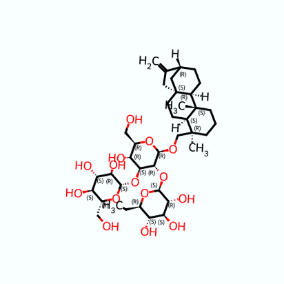 C=C1C[C@@]23CC[C@@H]4[C@](C)(CO[C@@H]5O[C@H](CO)[C@@H](O)[C@H](O[C@@H]6O[C@H](CO)[C@@H](O)[C@H](O)[C@H]6O)[C@H]5O[C@@H]5O[C@H](CC)[C@@H](O)[C@H](O)[C@H]5O)CCC[C@@]4(C)[C@@H]2CC[C@@H]1C3